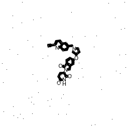 C#Cc1ccc2cc(CN3CCC(Oc4ccc5c(c4)CN(C4CCC(=O)NC4=O)C5=O)C3)ccc2n1